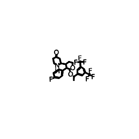 CC(OC1OCCC(C2CC(=O)CCN2)C1c1ccc(F)cc1)c1cc(C(F)(F)F)cc(C(F)(F)F)c1